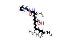 CC(C)=CCCC(C)=CCCC(=CCCC(C)=CC(=O)NCCN1CCCC1)CO